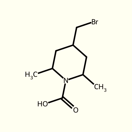 CC1CC(CBr)CC(C)N1C(=O)O